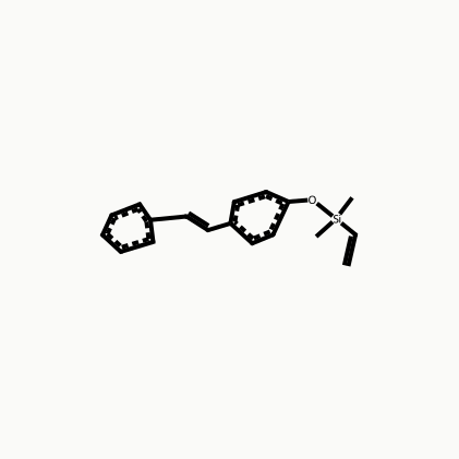 C=C[Si](C)(C)Oc1ccc(C=Cc2ccccc2)cc1